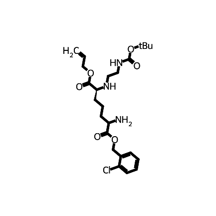 C=CCOC(=O)[C@H](CCCC(N)C(=O)OCc1ccccc1Cl)NCCNC(=O)OC(C)(C)C